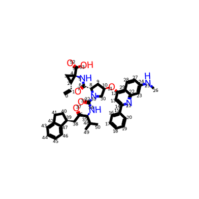 C=C[C@@H]1C[C@]1(NC(=O)[C@@H]1C[C@@H](Oc2cc(-c3ccccc3)nc3cc(NC)ccc23)CN1C(=O)N[C@H](C(=O)C[C@@H]1CCc2ccccc21)C(C)C)C(=O)O